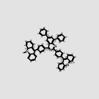 CN1c2ccccc2C(c2ccc(-c3nc(-c4ccc(-c5c6ccccc6nc6ccccc56)cc4)nc4c(-c5ccccc5)cc(-c5ccccc5)cc34)cc2)=C2C=CC=CC21